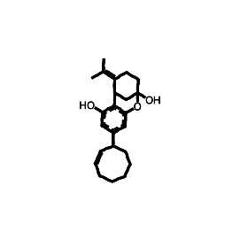 CC(C)=C1CCC2(O)CC1c1c(O)cc(C3C=CCCCCC3)cc1O2